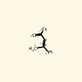 CCC(=O)/C=C(\C)C(C)C